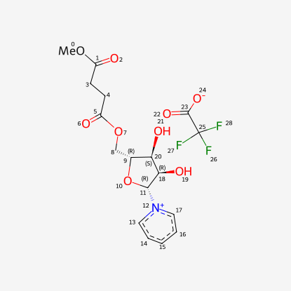 COC(=O)CCC(=O)OC[C@H]1O[C@@H]([n+]2ccccc2)[C@H](O)[C@@H]1O.O=C([O-])C(F)(F)F